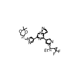 CC[C@H](C1CC1(F)F)n1cc(-c2nc(-c3cnn(C[C@@H]4COC(C)(C)O4)c3)cn3nccc23)cn1